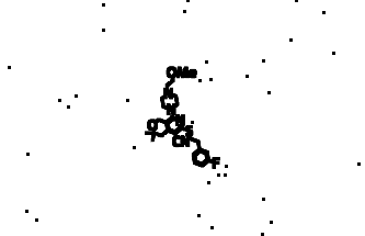 COCCN1CCN(c2nc(SCCc3cccc(F)c3)c(C#N)c3c2COC(C)(C)C3)CC1